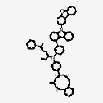 C=C/C(=C\C=C(/C)c1ccccc1)N(c1ccc(C2=C/C(=C)/C=C\c3ccccc3C/C=C\2)cc1)c1cccc(-c2cccc3c2c2ccccc2n3-c2ccc3oc4ccccc4c3c2)c1